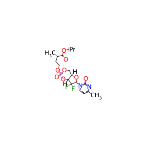 Cc1ccn([C@@H]2O[C@@H]3COP(=O)(OCC[C@H](C)C(=O)OC(C)C)O[C@H]3C2(F)F)c(=O)n1